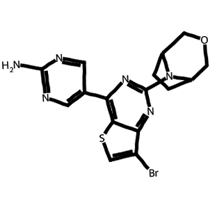 Nc1ncc(-c2nc(N3C4CCC3COC4)nc3c(Br)csc23)cn1